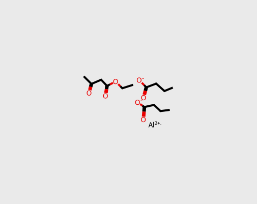 CCCC(=O)[O-].CCCC(=O)[O-].CCOC(=O)CC(C)=O.[Al+2]